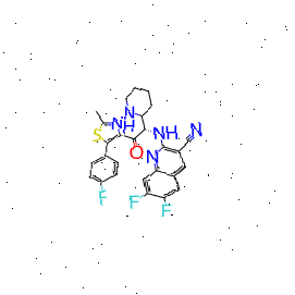 Cc1nc(C(=O)[C@@H](Nc2nc3cc(F)c(F)cc3cc2C#N)C2CCCCN2)c(-c2ccc(F)cc2)s1